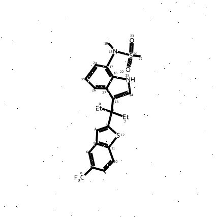 CCC(CC)(c1cc2cc(C(F)(F)F)ccc2s1)c1c[nH]c2c(N(C)S(C)(=O)=O)cccc12